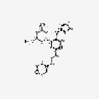 NC1CC(C(F)(F)F)CN(c2cc(CCCN3CCOCC3)ncc2Nc2ccco2)C1